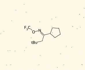 CC(C)(C)C/C(=N\OC(F)(F)F)C1CCCC1